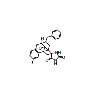 Cc1ccc2c(c1)[C@]13CCN(Cc4ccccc4)[C@H](C2)[C@]1(O)CC[C@@]1(C3)NC(=O)NC1=O